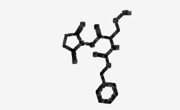 CC(C)(C)OCC(NC(=O)OCc1ccccc1)C(=O)ON1C(=O)CCC1=O